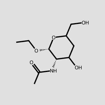 CCO[C@@H]1OC(CO)CC(O)[C@@H]1NC(C)=O